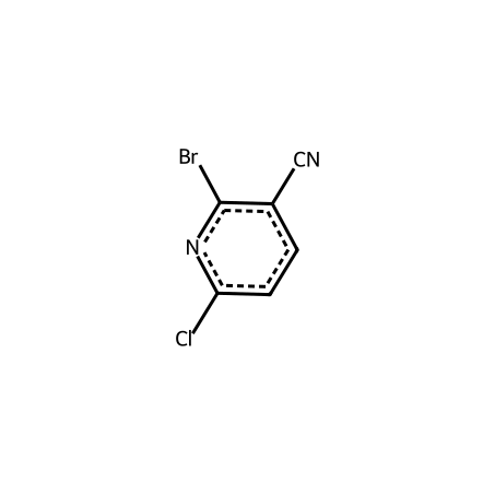 N#Cc1ccc(Cl)nc1Br